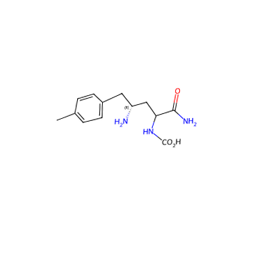 Cc1ccc(C[C@@H](N)CC(NC(=O)O)C(N)=O)cc1